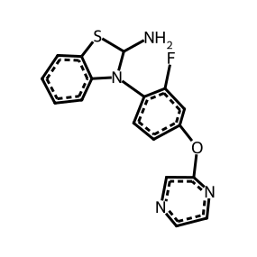 NC1Sc2ccccc2N1c1ccc(Oc2cnccn2)cc1F